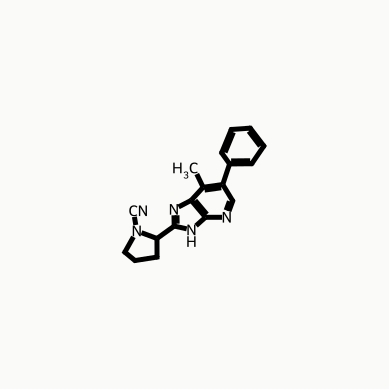 Cc1c(-c2ccccc2)cnc2[nH]c(C3CCCN3C#N)nc12